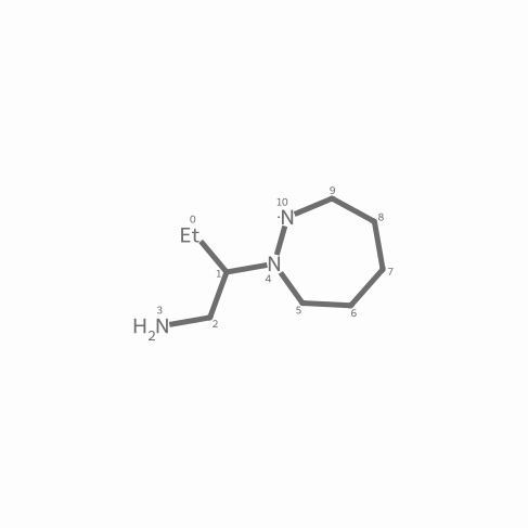 CCC(CN)N1CCCCC[N]1